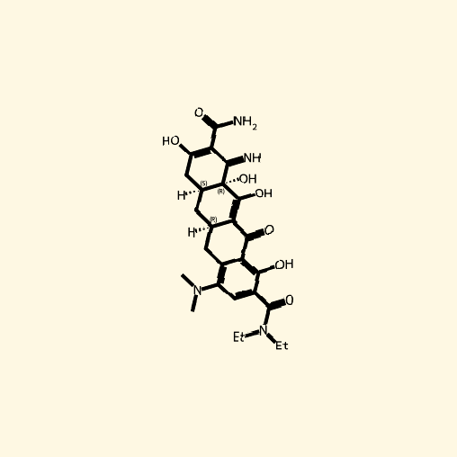 CCN(CC)C(=O)c1cc(N(C)C)c2c(c1O)C(=O)C1=C(O)[C@]3(O)C(=N)C(C(N)=O)=C(O)C[C@@H]3C[C@@H]1C2